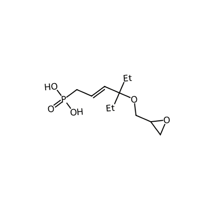 CCC(C=CCP(=O)(O)O)(CC)OCC1CO1